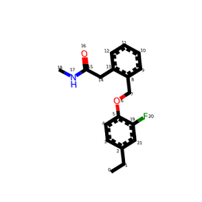 CCc1ccc(OCc2ccccc2CC(=O)NC)c(F)c1